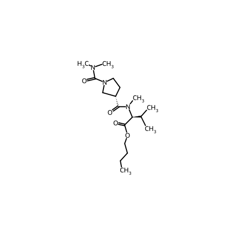 CCCCOC(=O)[C@H](C(C)C)N(C)C(=O)[C@H]1CCN(C(=O)N(C)C)C1